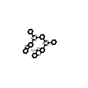 CC1(C)c2ccccc2Oc2ccc(-c3nc(-c4ccccc4)nc(-c4cccc(-c5nc(-c6ccccc6)nc(-c6ccc7c(c6)oc6ccccc67)n5)c4)n3)cc21